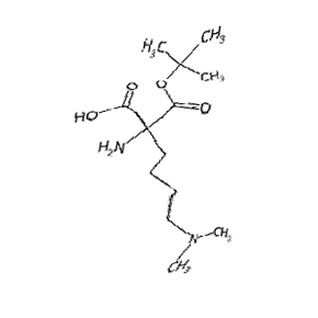 CN(C)CCCCC(N)(C(=O)O)C(=O)OC(C)(C)C